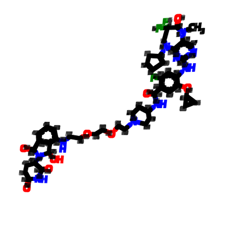 CN1C(=O)C(F)(F)CN(C2CCCC2)c2nc(Nc3cc(F)c(C(=O)NC4CCN(CCOCCOCCNc5cccc6c5C(O)N(C5CCC(=O)NC5=O)C6=O)CC4)cc3OC3CC3)ncc21